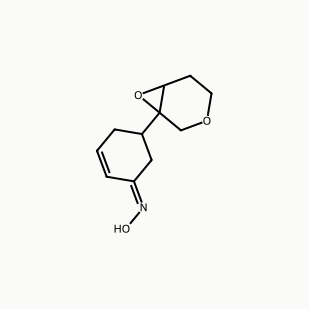 O/N=C1\C=CCC(C23COCCC2O3)C1